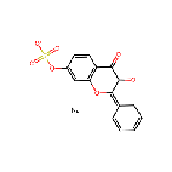 O=C1C(=O)c2ccc(OS(=O)(=O)[O-])cc2OC1=C1C=CC=CC1.[Na+]